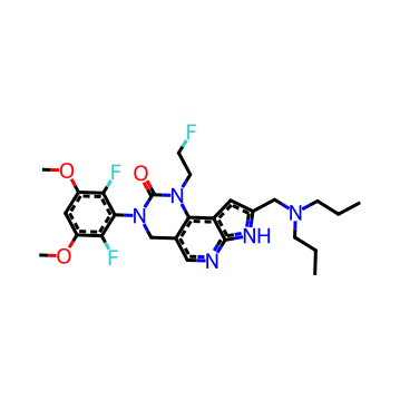 CCCN(CCC)Cc1cc2c3c(cnc2[nH]1)CN(c1c(F)c(OC)cc(OC)c1F)C(=O)N3CCF